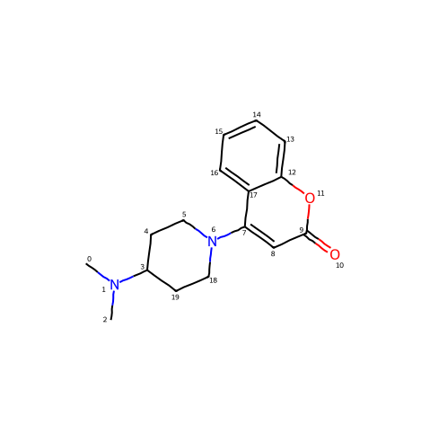 CN(C)C1CCN(c2cc(=O)oc3ccccc23)CC1